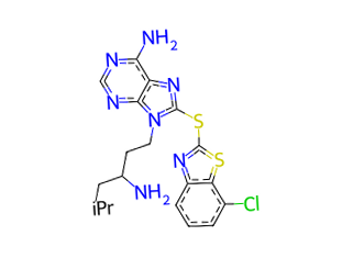 CC(C)CC(N)CCn1c(Sc2nc3cccc(Cl)c3s2)nc2c(N)ncnc21